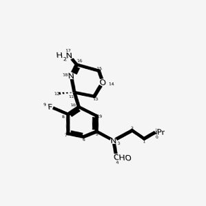 CC(C)CCN(C=O)c1ccc(F)c([C@]2(C)COCC(N)=N2)c1